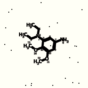 CCN(CC)c1cc(N)cc(OC)c1OC